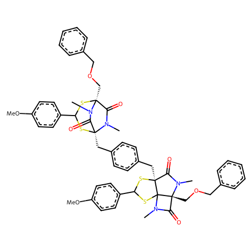 COc1ccc(C2S[C@@]3(COCc4ccccc4)C(=O)N(C)[C@@](Cc4ccc(C[C@@]56SC(c7ccc(OC)cc7)SC57N(C)C(=O)[C@@]7(COCc5ccccc5)N(C)C6=O)cc4)(S2)C(=O)N3C)cc1